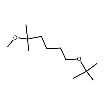 COC(C)(C)CCCCOC(C)(C)C